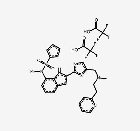 CC(C)N(c1cccc2cc(-c3ncc(CN(C)CCc4ccccn4)s3)[nH]c12)S(=O)(=O)c1cccs1.O=C(O)C(F)(F)F.O=C(O)C(F)(F)F